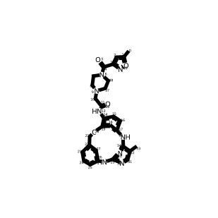 Cc1cc(C(=O)N2CCN(CC(=O)Nc3ccc4cc3CCc3cccc(c3)Nc3ncc(C)c(n3)N4)CC2)no1